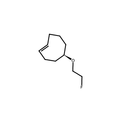 FCCO[C@H]1CC/C=C/CCC1